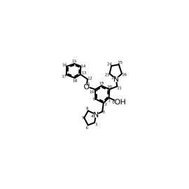 Oc1c(CN2CCCC2)cc(OCc2ccccc2)cc1CN1CCCC1